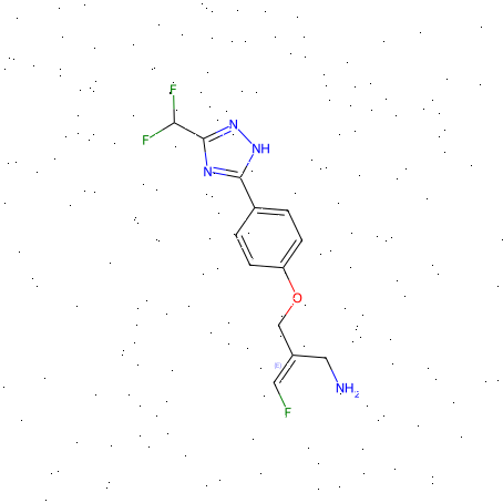 NC/C(=C\F)COc1ccc(-c2nc(C(F)F)n[nH]2)cc1